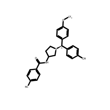 N#Cc1ccc(C(=O)NC2CCN([C@H](c3ccc(C#N)cc3)c3ccc(OC(F)(F)F)cc3)C2)cc1